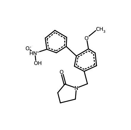 COc1ccc(CN2CCCC2=O)cc1-c1cccc([NH+]([O-])O)c1